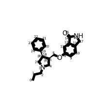 CCCN1C[C@H](COc2ccc3c(c2)C(=O)NC3)[C@H](c2ccccc2)C1